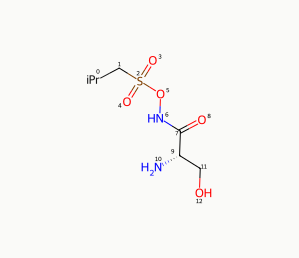 CC(C)CS(=O)(=O)ONC(=O)[C@@H](N)CO